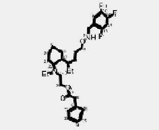 CCC(CCCONCc1cc(F)c(F)cc1F)C1CCCCC1N(CC)CCOC(=O)Cc1ccccc1